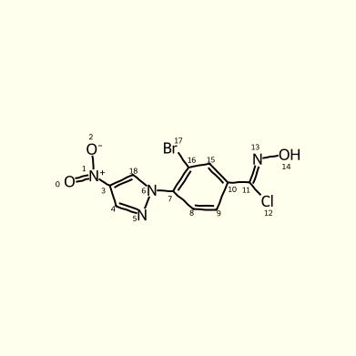 O=[N+]([O-])c1cnn(-c2ccc(/C(Cl)=N/O)cc2Br)c1